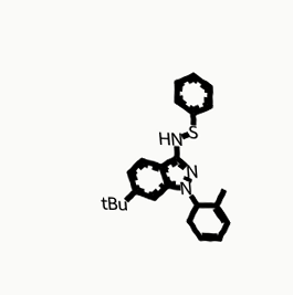 CC1=CC=CCC1n1nc(NSc2ccccc2)c2ccc(C(C)(C)C)cc21